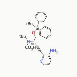 CC(C)(C)N(C(=O)O)[C@@H](C#Cc1ncccc1N)CO[Si](c1ccccc1)(c1ccccc1)C(C)(C)C